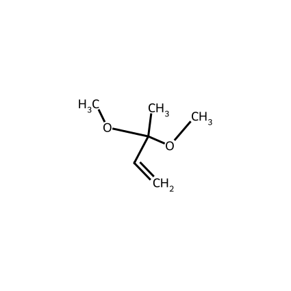 C=CC(C)(OC)OC